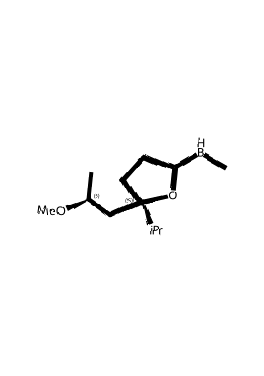 CBC1CC[C@](C[C@H](C)OC)(C(C)C)O1